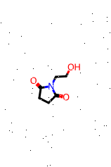 O=C1CCC(=O)N1CCO